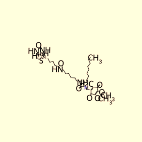 CCCCCCCCC/C(=C\C1=C(C)C(=O)C(OC)=C(OC)C1=O)C(=O)NCCCCCCNC(=O)CCCC[C@@H]1SC[C@@H]2NC(=O)N[C@@H]21